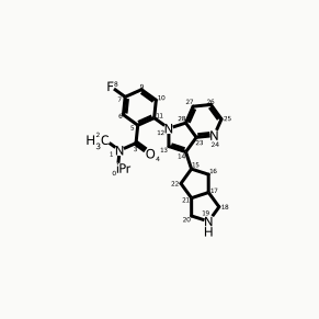 CC(C)N(C)C(=O)c1cc(F)ccc1-n1cc(C2CC3CNCC3C2)c2ncccc21